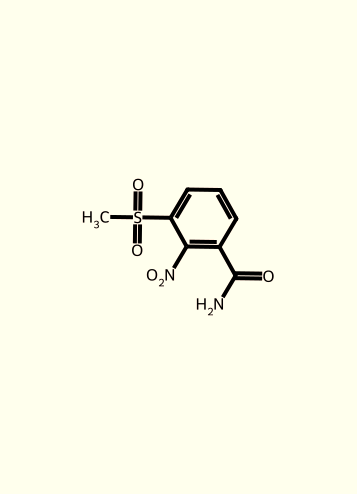 CS(=O)(=O)c1cccc(C(N)=O)c1[N+](=O)[O-]